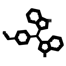 O=Cc1ccc(C(c2c[nH]c3ccccc23)c2c[nH]c3ccccc23)cc1